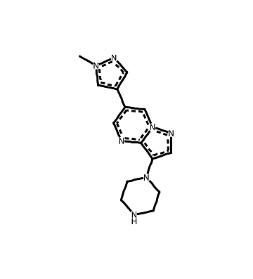 Cn1cc(-c2cnc3c(N4CCNCC4)cnn3c2)cn1